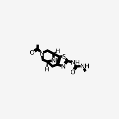 CNC(=O)Nc1nc2c(s1)[C@H]1CN(C(C)=O)C[C@@H](C2)N1